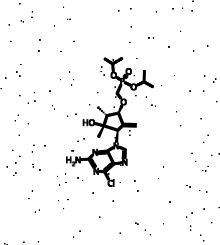 C=C1[C@H](OCP(=O)(OC(C)C)OC(C)C)[C@@H](C)[C@@](C)(O)[C@@H]1n1cnc2c(Cl)nc(N)nc21